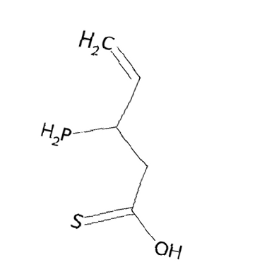 C=CC(P)CC(O)=S